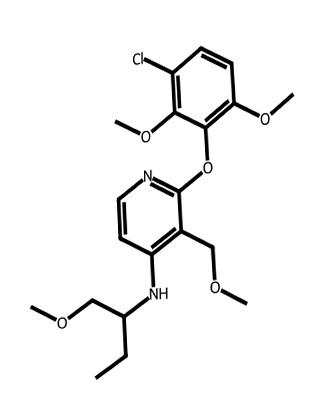 CCC(COC)Nc1ccnc(Oc2c(OC)ccc(Cl)c2OC)c1COC